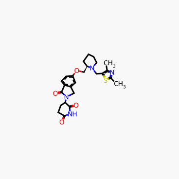 Cc1nc(C)c(CN2CCCC[C@@H]2COc2ccc3c(c2)CN(C2CCC(=O)NC2=O)C3=O)s1